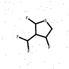 FC(F)C1C(F)CSC1F